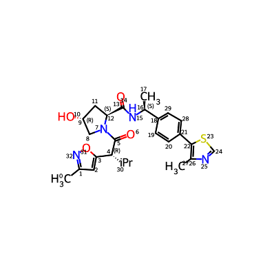 Cc1cc([C@H](C(=O)N2C[C@H](O)C[C@H]2C(=O)N[C@@H](C)c2ccc(-c3scnc3C)cc2)C(C)C)on1